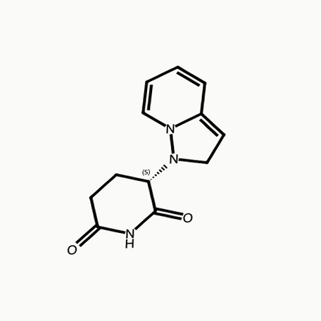 O=C1CC[C@H](N2CC=C3C=CC=CN32)C(=O)N1